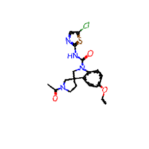 CCOc1ccc2c(c1)C1(CCN(C(C)=O)C1)CN2C(=O)Nc1ncc(Cl)s1